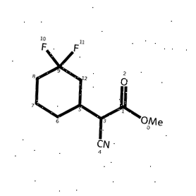 COC(=O)C(C#N)C1CCCC(F)(F)C1